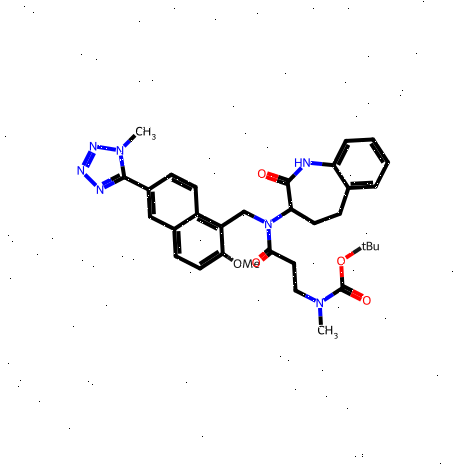 COc1ccc2cc(-c3nnnn3C)ccc2c1CN(C(=O)CCN(C)C(=O)OC(C)(C)C)C1CCc2ccccc2NC1=O